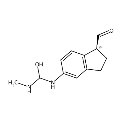 CNC(O)Nc1ccc2c(c1)CC[C@@H]2C=O